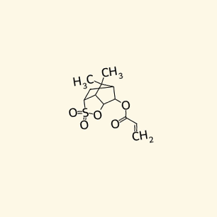 C=CC(=O)OC1C2OS(=O)(=O)C3CC1C(C)(C)C23